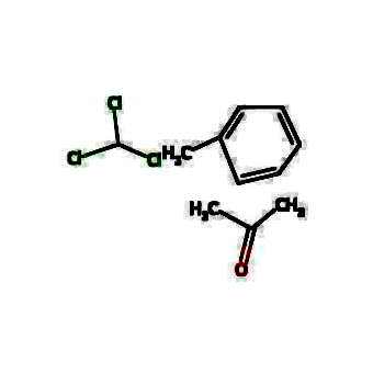 CC(C)=O.Cc1ccccc1.ClC(Cl)Cl